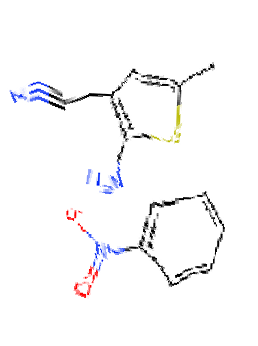 Cc1cc(C#N)c(N)s1.O=[N+]([O-])c1ccccc1